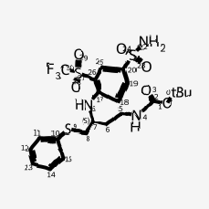 CC(C)(C)OC(=O)NCC[C@@H](CSc1ccccc1)Nc1ccc(S(N)(=O)=O)cc1S(=O)(=O)C(F)(F)F